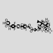 CC(C)(C1CCN(C(=O)COC(=O)N2CC(Oc3cnc(-c4c(-c5nn(C(C)(C)C)c6ncnc(N)c56)noc4C4CC4)nc3)C2)CC1)N1CCN(c2c(F)cc(NC3CCC(=O)NC3=O)cc2F)CC1